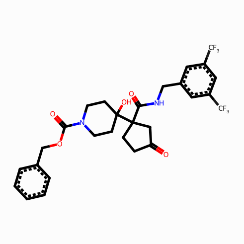 O=C1CCC(C(=O)NCc2cc(C(F)(F)F)cc(C(F)(F)F)c2)(C2(O)CCN(C(=O)OCc3ccccc3)CC2)C1